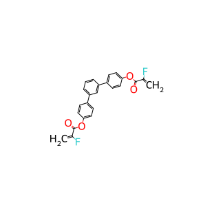 C=C(F)C(=O)Oc1ccc(-c2cccc(-c3ccc(OC(=O)C(=C)F)cc3)c2)cc1